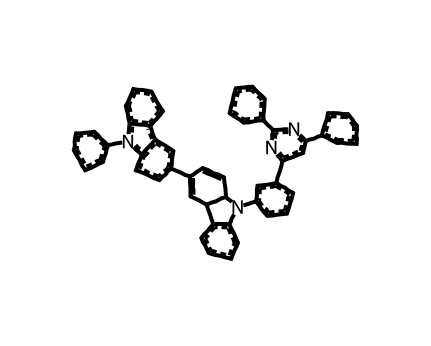 C1=CC2C(C=C1c1ccc3c(c1)c1ccccc1n3-c1ccccc1)c1ccccc1N2c1cccc(-c2cc(-c3ccccc3)nc(-c3ccccc3)n2)c1